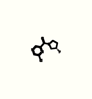 O=C(c1cncc(Cl)n1)N1CC[C@H](F)C1